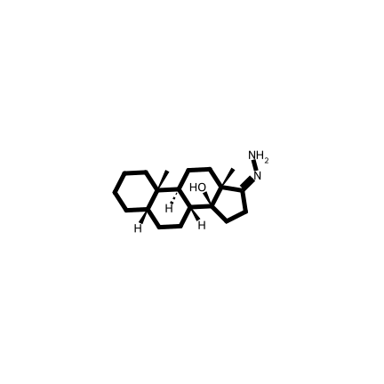 C[C@]12CCCC[C@H]1CC[C@@H]1[C@@H]2CC[C@]2(C)/C(=N\N)CC[C@]12O